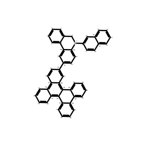 c1ccc2c(c1)CN(c1ccc3ccccc3c1)c1ccc(-c3ccc4c5ccccc5c5c6ccccc6c6ccccc6c5c4c3)cc1-2